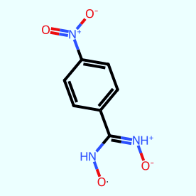 [O]NC(=[NH+][O-])c1ccc([N+](=O)[O-])cc1